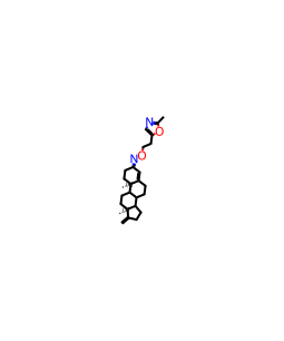 C=C1CCC2C3CCC4=CC(=NOCCc5cnc(C)o5)CC[C@]4(C)C3CC[C@]12C